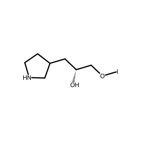 O[C@@H](COI)CC1CCNC1